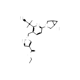 CCOC(=O)c1cnn(Cc2ccc(N3CC4C[C@H]4C3)nc2C(C)(C)C#N)c1